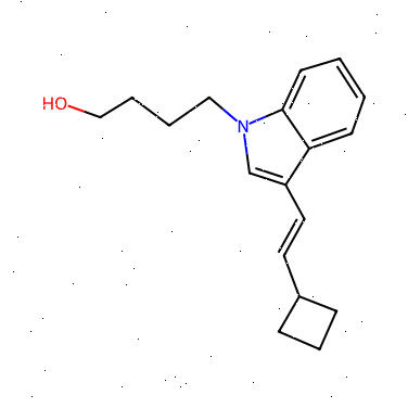 OCCCCn1cc(C=CC2CCC2)c2ccccc21